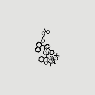 CC(=O)OCCOc1ccc2ccccc2c1-c1csc(C2CCCN2C(=O)[C@@H](NC(=O)[C@H](C)N(C)C(=O)OC(C)(C)C)C2CCCCC2)n1